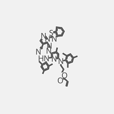 C=CC(=O)OCCCN(c1cc(C)c(/N=N/c2c(C#N)cnn2-c2nc3ccccc3s2)c(Nc2c(C)cc(C)cc2C)n1)c1c(C)cc(C)cc1C